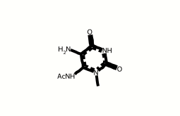 CC(=O)Nc1c(N)c(=O)[nH]c(=O)n1C